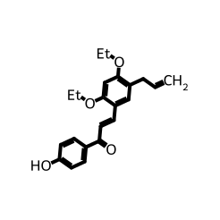 C=CCc1cc(/C=C/C(=O)c2ccc(O)cc2)c(OCC)cc1OCC